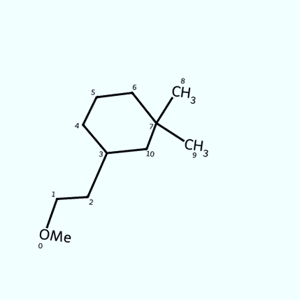 COCCC1CCCC(C)(C)C1